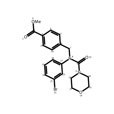 COC(=O)c1ccc(CN(C(=O)N2CCOCC2)c2cccc(Br)c2)cc1